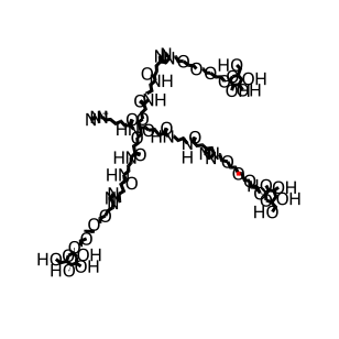 [N-]=[N+]=NCCCCCC(=O)NC(COCCC(=O)NCCCNC(=O)CCc1cn(CCOCCOCCOCCO[C@H]2OC(CO)[C@@H](O)C(O)C2O)nn1)(COCCC(=O)NCCCNC(=O)CCc1cn(CCOCCOCCOCCO[C@H]2OC(CO)[C@@H](O)C(O)C2O)nn1)COCCC(=O)NCCCNC(=O)CCc1cn(CCOCCOCCOCCO[C@H]2OC(CO)[C@@H](O)C(O)C2O)nn1